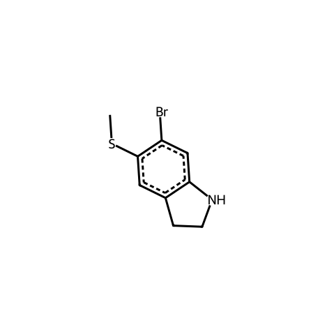 CSc1cc2c(cc1Br)NCC2